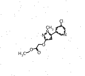 CCOC(=O)COc1cc(-c2cncc(Cl)c2)n(C)n1